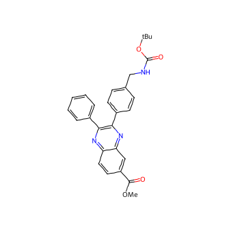 COC(=O)c1ccc2nc(-c3ccccc3)c(-c3ccc(CNC(=O)OC(C)(C)C)cc3)nc2c1